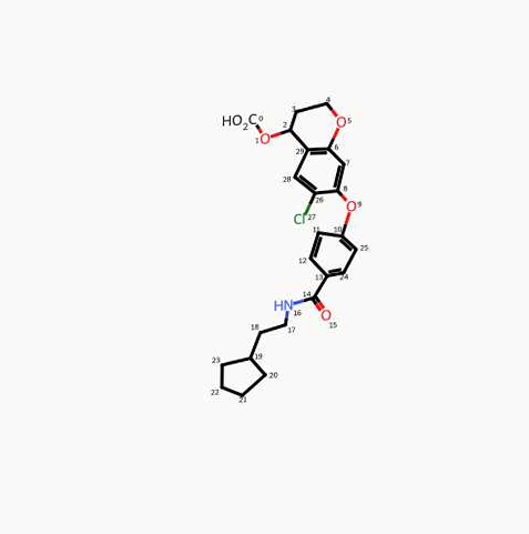 O=C(O)OC1CCOc2cc(Oc3ccc(C(=O)NCCC4CCCC4)cc3)c(Cl)cc21